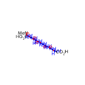 CNC(=O)CC(NCCNCCNCC(=O)NCCNC(=O)CNCCNCCNCC(=O)NCCNC(=O)CNCCNCCNCC(=O)O)C(=O)O